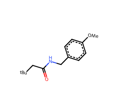 COc1ccc(CNC(=O)CC(C)(C)C)cc1